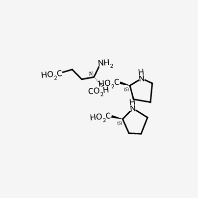 N[C@@H](CCC(=O)O)C(=O)O.O=C(O)[C@@H]1CCCN1.O=C(O)[C@@H]1CCCN1